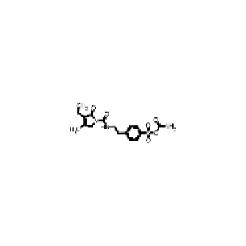 CCC1=C(C)CN(C(=O)NCCc2ccc(S(=O)(=O)OC(N)=O)cc2)C1=O